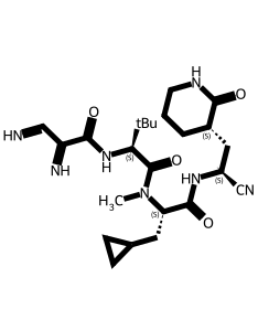 CN(C(=O)[C@@H](NC(=O)C(=N)C=N)C(C)(C)C)[C@@H](CC1CC1)C(=O)N[C@H](C#N)C[C@@H]1CCCNC1=O